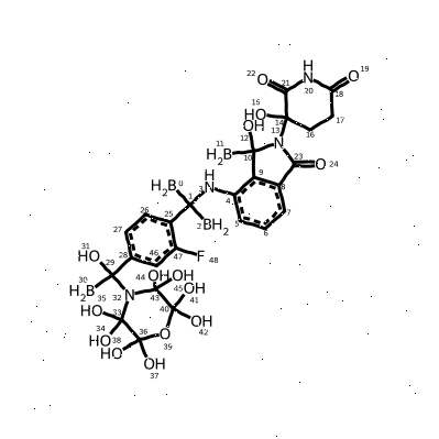 BC(B)(Nc1cccc2c1C(B)(O)N(C1(O)CCC(=O)NC1=O)C2=O)c1ccc(C(B)(O)N2C(O)(O)C(O)(O)OC(O)(O)C2(O)O)cc1F